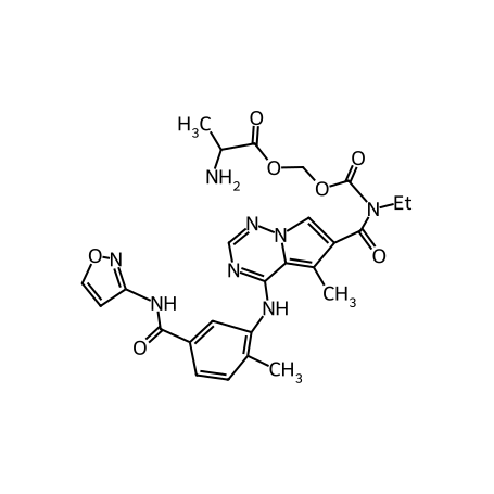 CCN(C(=O)OCOC(=O)C(C)N)C(=O)c1cn2ncnc(Nc3cc(C(=O)Nc4ccon4)ccc3C)c2c1C